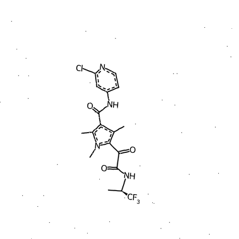 Cc1c(C(=O)Nc2ccnc(Cl)c2)c(C)n(C)c1C(=O)C(=O)N[C@H](C)C(F)(F)F